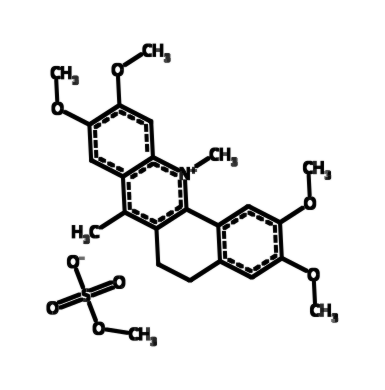 COS(=O)(=O)[O-].COc1cc2c(cc1OC)-c1c(c(C)c3cc(OC)c(OC)cc3[n+]1C)CC2